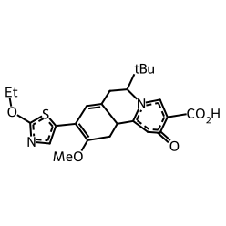 CCOc1ncc(C2=C(OC)CC3C(=C2)CC(C(C)(C)C)n2cc(C(=O)O)c(=O)cc23)s1